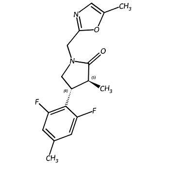 Cc1cc(F)c([C@@H]2CN(Cc3ncc(C)o3)C(=O)[C@H]2C)c(F)c1